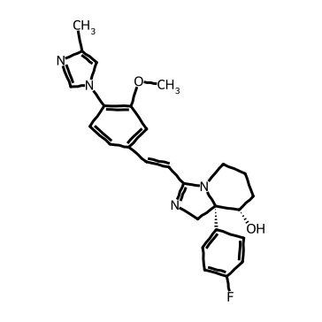 COc1cc(/C=C/C2=NC[C@]3(c4ccc(F)cc4)[C@@H](O)CCCN23)ccc1-n1cnc(C)c1